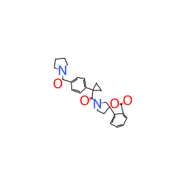 O=C1OC2(CCN(C(=O)C3(c4ccc(C(=O)N5CCCC5)cc4)CC3)C2)c2ccccc21